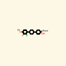 CCCCCC1(O)C=CC(C2CCC(c3ccc(OCC)c(F)c3F)CC2)CC1